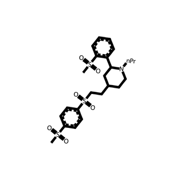 CCCN1CCC(CCS(=O)(=O)c2ccc(S(C)(=O)=O)cc2)CC1c1ccccc1S(C)(=O)=O